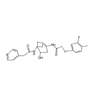 Cc1ccc(OCC(=O)NC2=C3CC(NC(=O)Cc4ccncc4)(C3)C(O)C2)cc1F